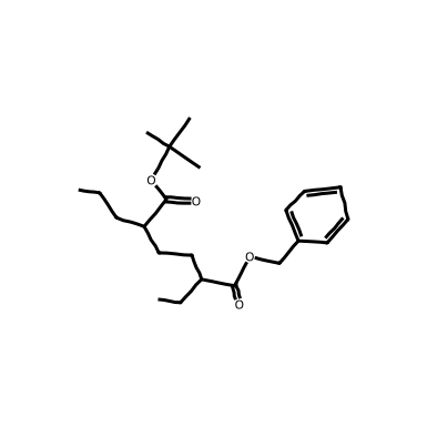 CCCC(CCC(CC)C(=O)OCc1ccccc1)C(=O)OC(C)(C)C